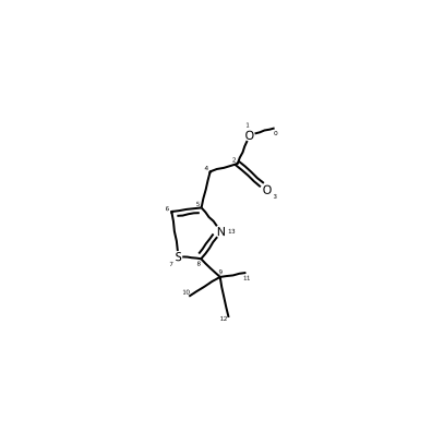 COC(=O)Cc1csc(C(C)(C)C)n1